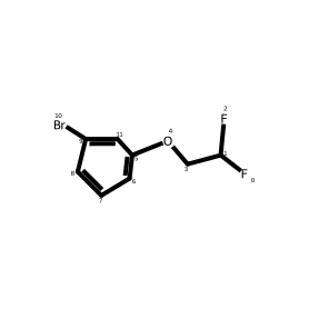 FC(F)COc1cccc(Br)c1